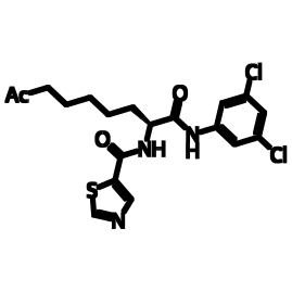 CC(=O)CCCCC[C@H](NC(=O)c1cncs1)C(=O)Nc1cc(Cl)cc(Cl)c1